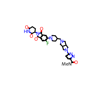 CNC(=O)c1ccc(N2CC3CN(CC4CCN(c5cc6c(cc5F)C(=O)N(C5CCC(=O)NC5=O)C6=O)CC4)CC3C2)nn1